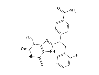 CCCCn1c(=O)[nH]c(=O)c2[nH]c(C(Cc3ccccc3F)c3ccc(C(N)=O)cc3)nc21